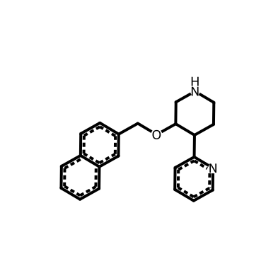 c1ccc(C2CCNCC2OCc2ccc3ccccc3c2)nc1